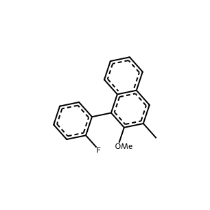 COc1c(C)cc2ccccc2c1-c1ccccc1F